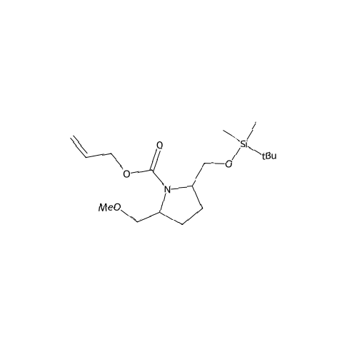 C=CCOC(=O)N1C(COC)CCC1CO[Si](C)(C)C(C)(C)C